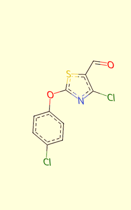 O=Cc1sc(Oc2ccc(Cl)cc2)nc1Cl